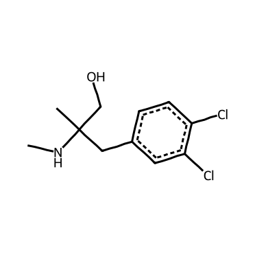 CNC(C)(CO)Cc1ccc(Cl)c(Cl)c1